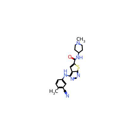 Cc1ccc(Nc2ncnc3sc(C(=O)NC4CCN(C)CC4)cc23)cc1C#N